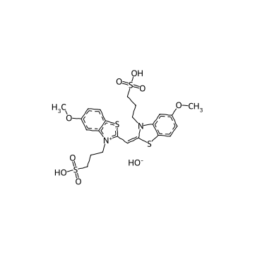 COc1ccc2c(c1)N(CCCS(=O)(=O)O)C(=Cc1sc3ccc(OC)cc3[n+]1CCCS(=O)(=O)O)S2.[OH-]